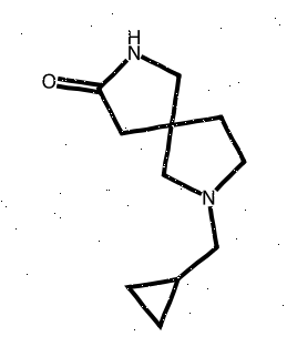 O=C1CC2(CCN(CC3CC3)C2)CN1